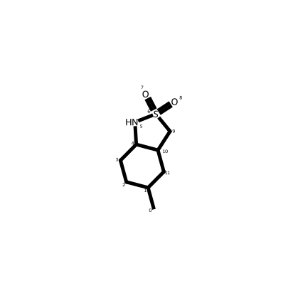 CC1CCC2NS(=O)(=O)CC2C1